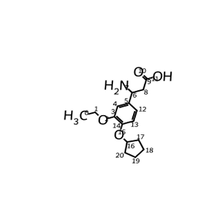 CCOc1cc(C(N)CC(=O)O)ccc1OC1CCCC1